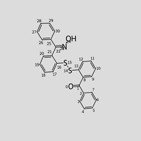 O=C(c1ccccc1)c1ccccc1SSc1ccccc1C(=NO)c1ccccc1